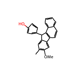 COc1cc2c(cc1C)C(c1ccc(O)cc1)c1c-2ccc2ccccc12